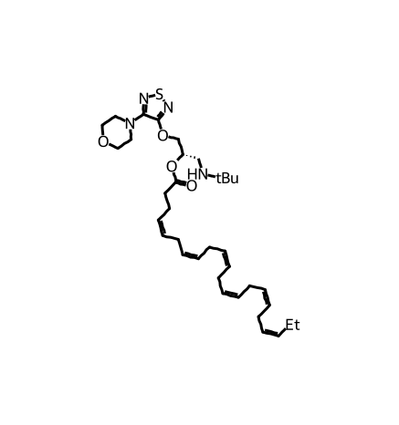 CC/C=C\C/C=C\C/C=C\C/C=C\C/C=C\C/C=C\CCC(=O)O[C@@H](CNC(C)(C)C)COc1nsnc1N1CCOCC1